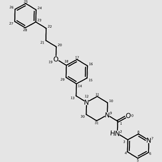 O=C(Nc1cccnc1)N1CCN(Cc2cccc(OCCCc3ccccc3)c2)CC1